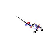 CCCCCCCCCCCCCCC(=O)N[C@@H]1CN(C(=O)c2ccc(C(=O)N3CC(C(=O)N[C@H]4C[C@@H]4c4ccccc4)[C@H](C(=O)N[C@H]4C[C@@H]4c4ccccc4)C3)cc2)C[C@H]1OC